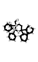 FC[Si]1(CCl)CCC(c2ccccc2)(c2ccccc2)O[Si]1(c1ccccc1)c1ccccc1